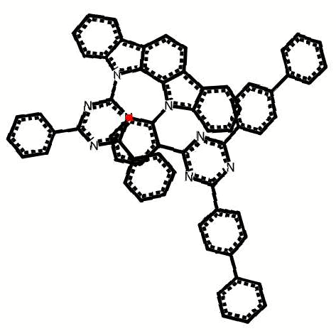 c1ccc(-c2ccc(-c3nc(-c4ccc(-c5ccccc5)cc4)nc(-c4ccccc4-n4c5ccccc5c5ccc6c7ccccc7n(-c7nc(-c8ccccc8)nc(-c8ccccc8)n7)c6c54)n3)cc2)cc1